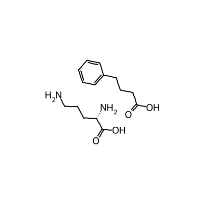 NCCC[C@H](N)C(=O)O.O=C(O)CCCc1ccccc1